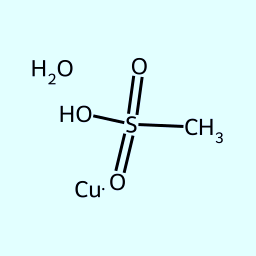 CS(=O)(=O)O.O.[Cu]